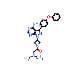 CN(C)CC(=O)N1CC(n2nc(-c3ccc(Oc4ccccc4)cc3)c3c(N)ncnc32)C1